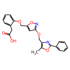 Cc1oc(-c2ccccc2)nc1COc1cc(COc2ccccc2CC(=O)O)on1